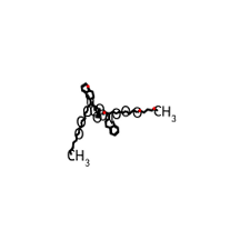 CCCCCCOCCOCCOCC(COS(=O)(=O)OCC(COCCOCCOCCCCCC)N1CCc2ccccc2C1)N1CCc2ccccc2C1